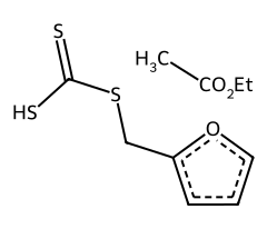 CCOC(C)=O.S=C(S)SCc1ccco1